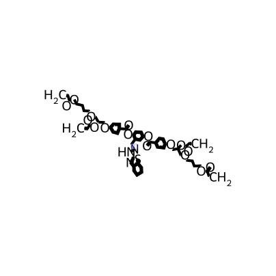 C=CC(=O)OCCCCOCC(COc1ccc(C(=O)Oc2ccc(OC(=O)c3ccc(OCC(COCCCCOC(=O)C=C)OC(=O)C=C)cc3)c(/C=N/Nc3nc4ccccc4s3)c2)cc1)OC(=O)C=C